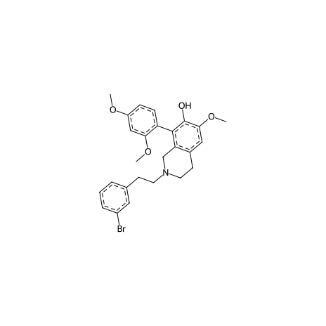 COc1ccc(-c2c(O)c(OC)cc3c2CN(CCc2cccc(Br)c2)CC3)c(OC)c1